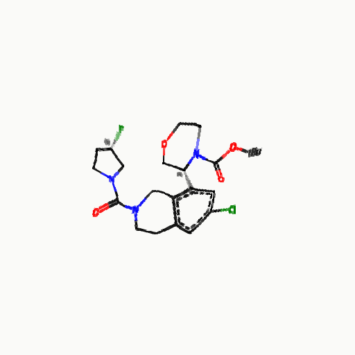 CC(C)(C)OC(=O)N1CCOC[C@H]1c1cc(Cl)cc2c1CN(C(=O)N1CC[C@H](F)C1)CC2